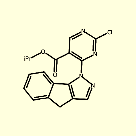 CC(C)OC(=O)c1cnc(Cl)nc1-n1ncc2c1-c1ccccc1C2